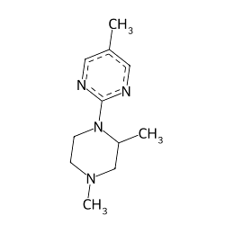 Cc1cnc(N2CCN(C)CC2C)nc1